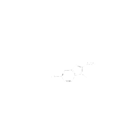 CNc1cc2cc(Cl)ccc2n1C